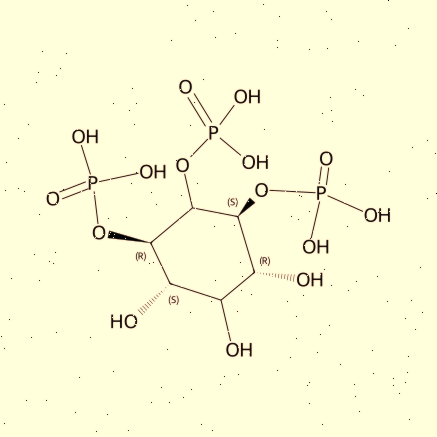 O=P(O)(O)OC1[C@@H](OP(=O)(O)O)[C@H](O)C(O)[C@H](O)[C@H]1OP(=O)(O)O